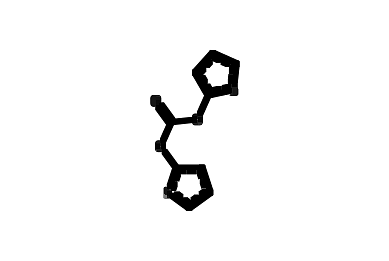 O=C(Oc1cccs1)Oc1cccs1